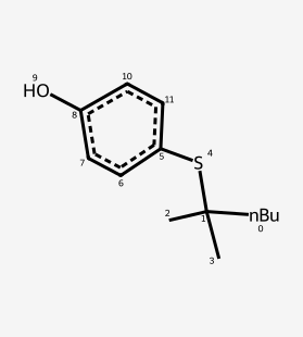 CCCCC(C)(C)Sc1ccc(O)cc1